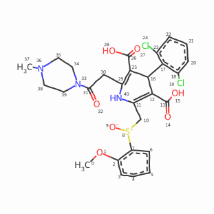 COc1ccccc1[S+]([O-])CC1=C(C(=O)O)C(c2c(Cl)cccc2Cl)C(C(=O)O)=C(CC(=O)N2CCN(C)CC2)N1